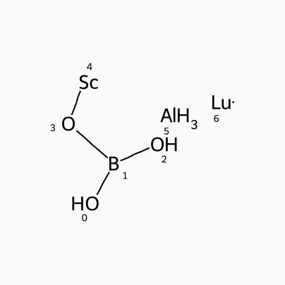 OB(O)[O][Sc].[AlH3].[Lu]